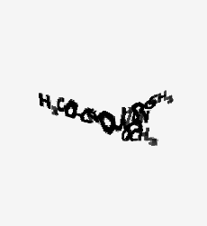 CCc1nc2c(OC)cccn2c1C(=O)NCc1ccc(N2CCC(c3ccc(C)cc3)CC2)cc1